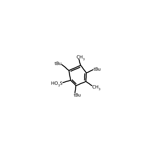 Cc1c(C(C)(C)C)c(C)c(C(C)(C)C)c(S(=O)(=O)O)c1C(C)(C)C